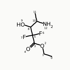 CCOC(=O)C(F)(F)C(O)C(C)N